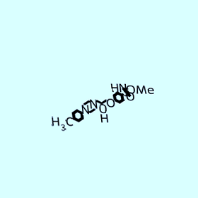 COS(=N)(=O)c1ccc(OCC(O)CN2CCN(c3ccc(C)cc3)CC2)cc1